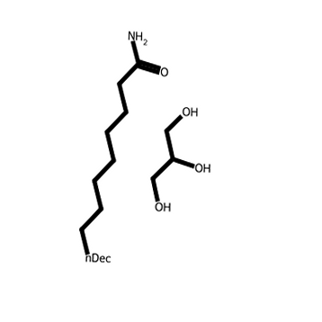 CCCCCCCCCCCCCCCCCC(N)=O.OCC(O)CO